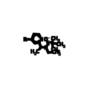 CCN(C(C)c1cc(Br)ccn1)[S@+]([O-])C(C)(C)C